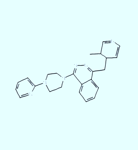 CC1C=NC=CC1Cc1nnc(N2CCN(c3ccccn3)CC2)c2ccccc12